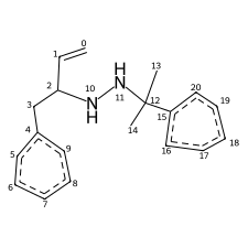 C=CC(Cc1ccccc1)NNC(C)(C)c1ccccc1